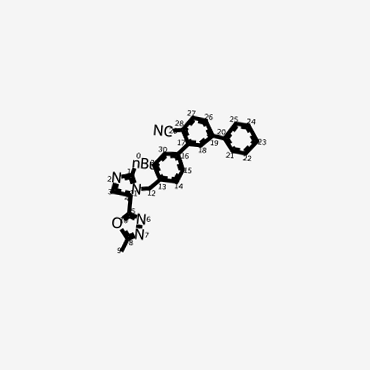 CCCCc1ncc(-c2nnc(C)o2)n1Cc1ccc(-c2cc(-c3ccccc3)ccc2C#N)cc1